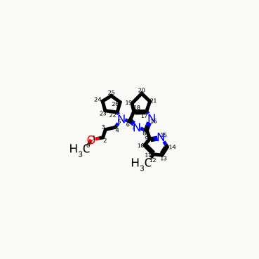 COCCCN(c1nc(-c2cc(C)ccn2)nc2c1CCC2)C1CCCC1